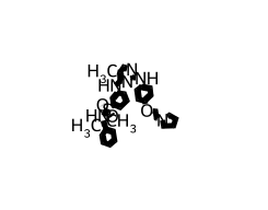 Cc1cnc(Nc2ccc(OCCN3CCCC3)cc2)nc1Nc1cccc(S(=O)(=O)NC(C)(C)c2ccccc2)c1